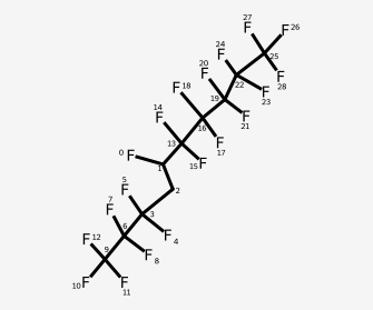 FC(CC(F)(F)C(F)(F)C(F)(F)F)C(F)(F)C(F)(F)C(F)(F)C(F)(F)C(F)(F)F